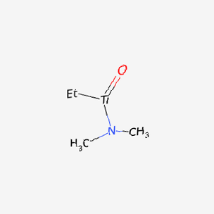 C[CH2][Ti](=[O])[N](C)C